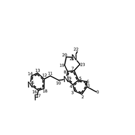 Cc1ccc2c(c1)c1c(n2CCc2ccnc(F)c2)CCN(C)C1